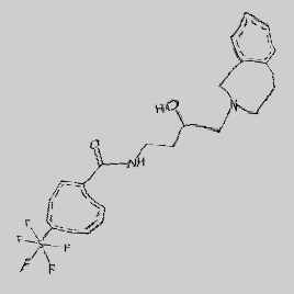 O=C(NCCC(O)CN1CCc2ccccc2C1)c1ccc(S(F)(F)(F)(F)F)cc1